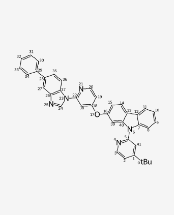 CC(C)(C)c1ccnc(-n2c3ccccc3c3ccc(Oc4ccnc(-n5cnc6cc(-c7ccccc7)ccc65)c4)cc32)c1